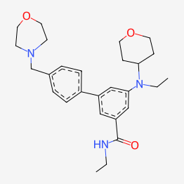 CCNC(=O)c1cc(-c2ccc(CN3CCOCC3)cc2)cc(N(CC)C2CCOCC2)c1